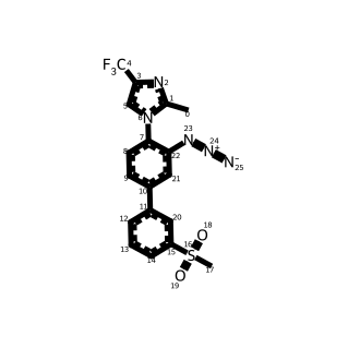 Cc1nc(C(F)(F)F)cn1-c1ccc(-c2cccc(S(C)(=O)=O)c2)cc1N=[N+]=[N-]